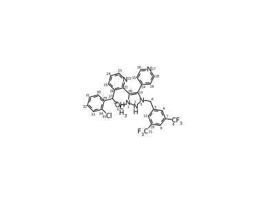 CN1NN(Cc2cc(C(F)(F)F)cc(C(F)(F)F)c2)C(c2ccncc2)=C1c1ncccc1C(O)c1ccccc1Cl